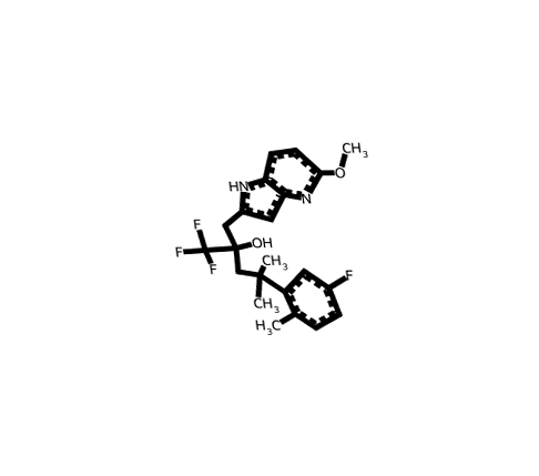 COc1ccc2[nH]c(CC(O)(CC(C)(C)c3cc(F)ccc3C)C(F)(F)F)cc2n1